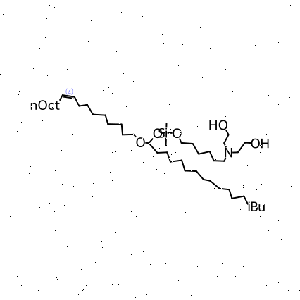 CCCCCCCC/C=C\CCCCCCCCOC(CCCCCCCCCCCCC(C)CC)O[Si](C)(C)OCCCCCCN(CCO)CCO